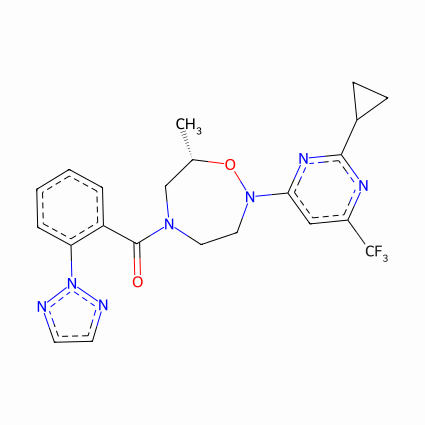 C[C@H]1CN(C(=O)c2ccccc2-n2nccn2)CCN(c2cc(C(F)(F)F)nc(C3CC3)n2)O1